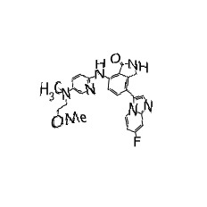 COCCN(C)c1ccc(Nc2ccc(-c3cnc4cc(F)ccn34)c3c2C(=O)NC3)nc1